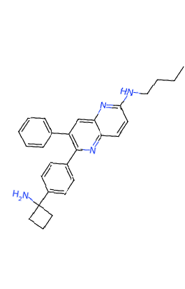 CCCCNc1ccc2nc(-c3ccc(C4(N)CCC4)cc3)c(-c3ccccc3)cc2n1